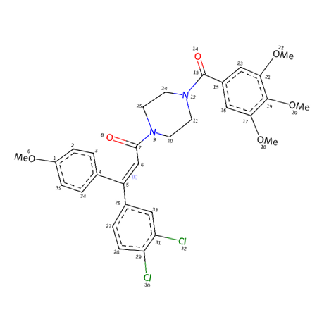 COc1ccc(/C(=C\C(=O)N2CCN(C(=O)c3cc(OC)c(OC)c(OC)c3)CC2)c2ccc(Cl)c(Cl)c2)cc1